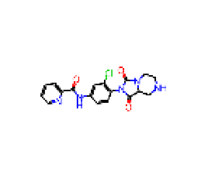 O=C(Nc1ccc(N2C(=O)C3CNCCN3C2=O)c(Cl)c1)c1ccccn1